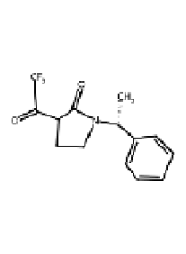 C[C@H](c1ccccc1)N1CCC(C(=O)C(F)(F)F)C1=O